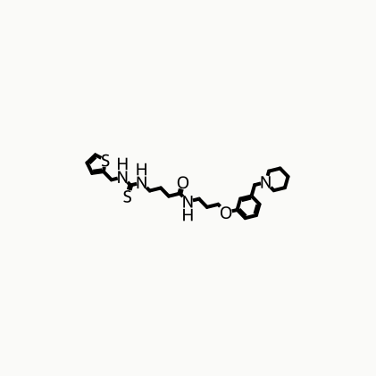 O=C(CCCNC(=S)NCc1cccs1)NCCCOc1cccc(CN2CCCCC2)c1